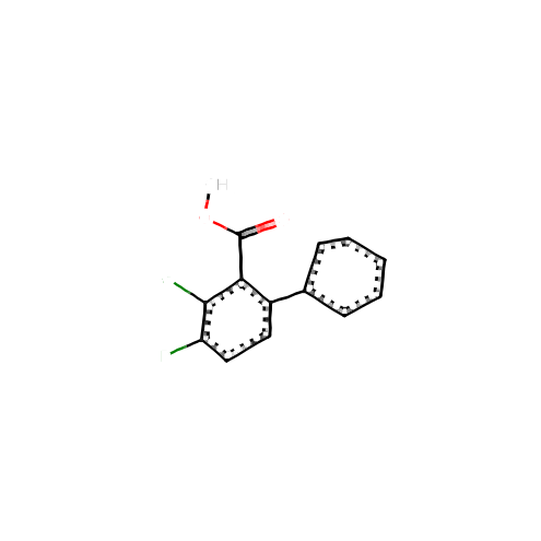 COC(=O)c1c(-c2ccccc2)ccc(F)c1Br